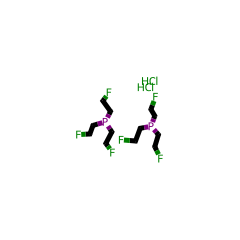 Cl.Cl.FCCP(CCF)CCF.FCCP(CCF)CCF